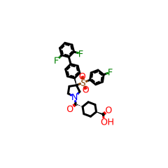 O=C(O)[C@H]1CC[C@H](C(=O)N2CC[C@](c3ccc(-c4c(F)cccc4F)cc3)(S(=O)(=O)c3ccc(F)cc3)C2)CC1